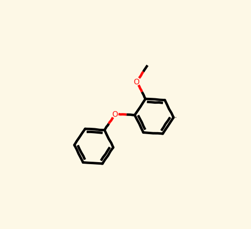 COc1c[c]ccc1Oc1ccccc1